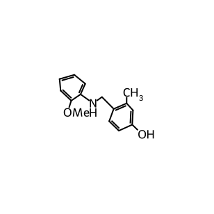 COc1ccccc1NCc1ccc(O)cc1C